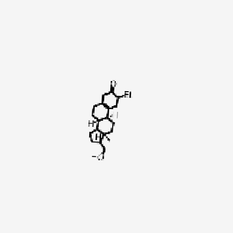 CCC1CC2=C(CC[C@@H]3[C@@H]2CC[C@]2(C)C(CO)CC[C@@H]32)CC1=O